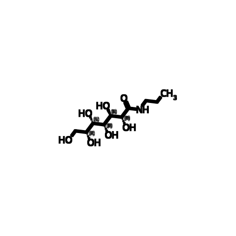 CCCNC(=O)[C@H](O)[C@H](O)[C@H](O)[C@@H](O)[C@H](O)CO